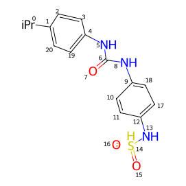 CC(C)c1ccc(NC(=O)Nc2ccc(N[SH](=O)=O)cc2)cc1